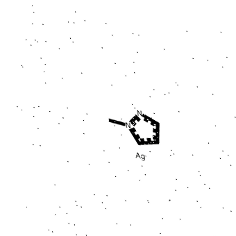 Cn1cccn1.[Ag]